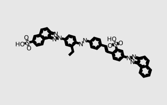 CCc1cc(-n2n3c4ccc5cc(S(=O)(=O)O)ccc5c4n23)ccc1N=Nc1ccc(C=Cc2ccc(-n3n4c5ccc6ccccc6c5n34)cc2S(=O)(=O)O)cc1